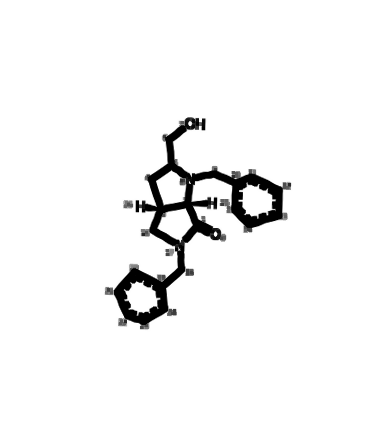 O=C1[C@@H]2[C@@H](CC(CO)N2Cc2ccccc2)CN1Cc1ccccc1